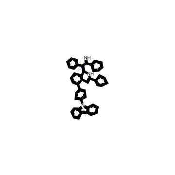 N=C(/C(=C1\NC(c2ccccc2)=Cc2c1cccc2-c1ccc(-n2c3ccccc3c3ccccc32)cc1)c1ccccc1)c1ccccc1